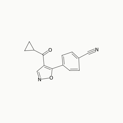 N#Cc1ccc(-c2oncc2C(=O)C2CC2)cc1